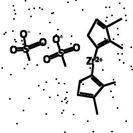 CC1=CC[C]([Zr+2][C]2=C(C)C(C)=CC2)=C1C.CS(=O)(=O)[O-].CS(=O)(=O)[O-]